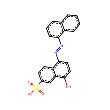 O=S(=O)(O)c1ccc2c(/N=N/c3cccc4ccccc34)ccc(O)c2c1